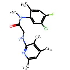 CCCN(C(=O)CNc1nc(C(F)(F)F)cc(C(F)(F)F)c1C#N)c1cc(Cl)c(F)cc1C